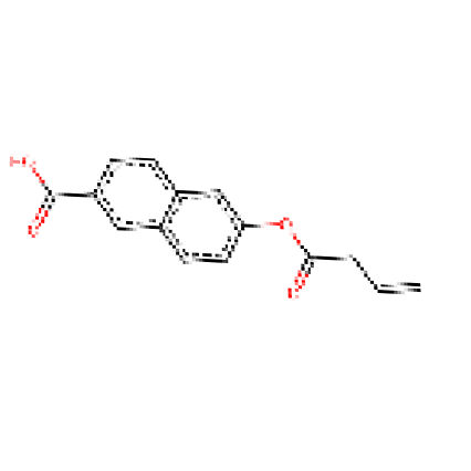 C=CCC(=O)Oc1ccc2cc(C(=O)O)ccc2c1